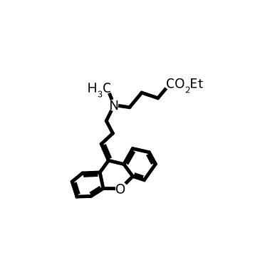 CCOC(=O)CCCN(C)CCC=C1c2ccccc2Oc2ccccc21